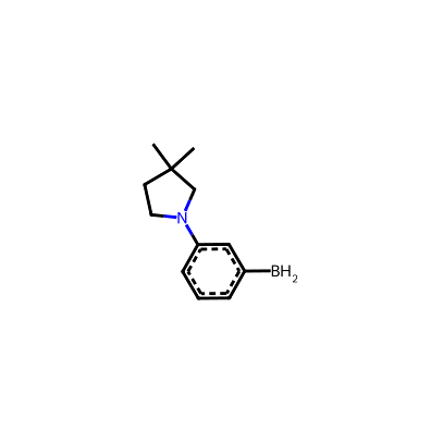 Bc1cccc(N2CCC(C)(C)C2)c1